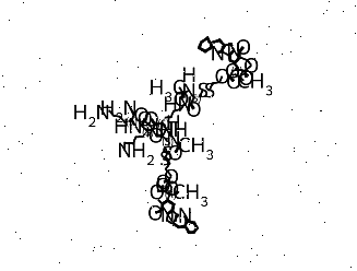 CC[C@]1(OC(=O)OCCSSC[C@@H](NC(C)=O)C(=O)N[C@@H](CCCCNC(=O)[C@@H](CSSCCOC(=O)O[C@]2(CC)C(=O)OCc3c2cc2n(c3=O)Cc3cc4ccccc4nc3-2)NC(C)=O)C(=O)N[C@@H](CCCCN)C(=O)N[C@@H](CCCCN)C(N)=O)C(=O)OCc2c1cc1n(c2=O)Cc2cc3ccccc3nc2-1